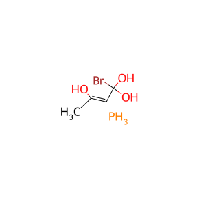 CC(O)=CC(O)(O)Br.P